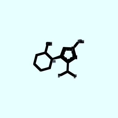 CC(C)(C)n1cc([C@H]2CCCC[C]2O)c(C(F)F)n1